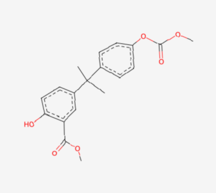 COC(=O)Oc1ccc(C(C)(C)c2ccc(O)c(C(=O)OC)c2)cc1